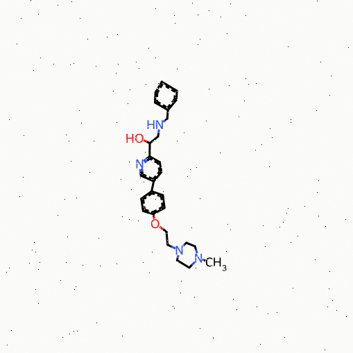 CN1CCN(CCOc2ccc(-c3ccc(C(O)CNCc4ccccc4)nc3)cc2)CC1